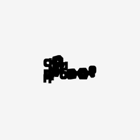 CC(=O)c1ccc(-c2ccc(OCc3cc(C(F)(F)F)nn3-c3c(Cl)cccc3Cl)cc2)cc1